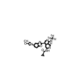 [2H]C([2H])([2H])Nc1ncc(-c2nc3cc(N4CC(OC)C4)ccc3o2)c2cc(NC(=O)C3CC3)ncc12